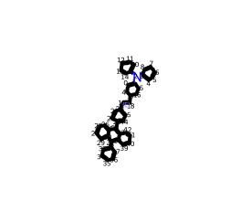 C1=C(N(c2ccccc2)c2ccccc2)CCC(/C=C/c2ccc(-c3c4ccccc4c(-c4ccccc4)c4ccccc34)cc2)C1